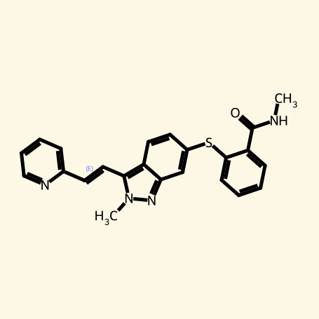 CNC(=O)c1ccccc1Sc1ccc2c(/C=C/c3ccccn3)n(C)nc2c1